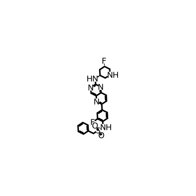 O=S(=O)(Cc1ccccc1)Nc1ccc(-c2ccc3nc(N[C@@H]4CNC[C@@H](F)C4)ncc3n2)cc1F